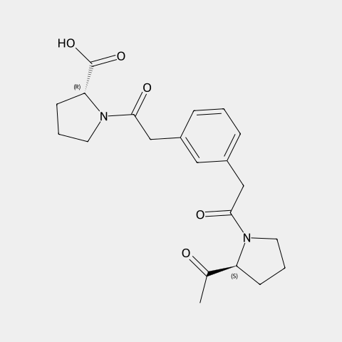 CC(=O)[C@@H]1CCCN1C(=O)Cc1cccc(CC(=O)N2CCC[C@@H]2C(=O)O)c1